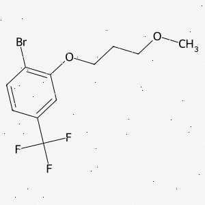 COCCCOc1cc(C(F)(F)F)ccc1Br